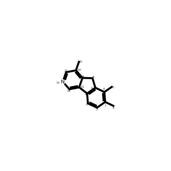 Cc1ccc2c(c1C)Cc1c(C)cncc1-2